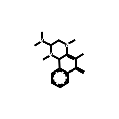 C=C1C(C)=C2C(c3ccccc31)N(C)C(N(C)C)CN2C